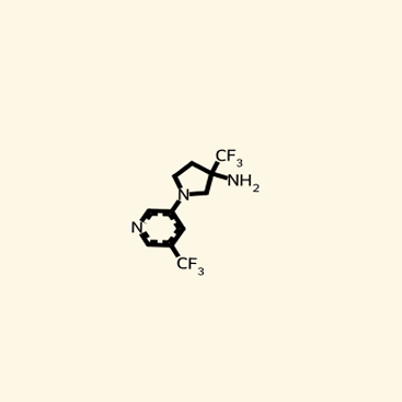 NC1(C(F)(F)F)CCN(c2cncc(C(F)(F)F)c2)C1